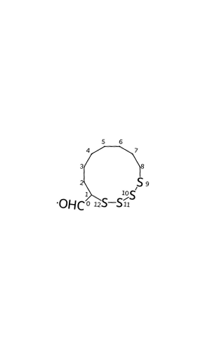 O=[C]C1CCCCCCCSSSS1